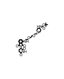 CC(C)(C)OC(=O)NC1CCN(CCOCCOCCNc2cccc3c2C(=O)N(C2CCC(=O)NC2=O)C3=O)CC1